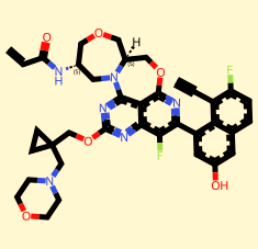 C#Cc1c(F)ccc2cc(O)cc(-c3nc4c5c(nc(OCC6(CN7CCOCC7)CC6)nc5c3F)N3C[C@H](NC(=O)C=C)COC[C@H]3CO4)c12